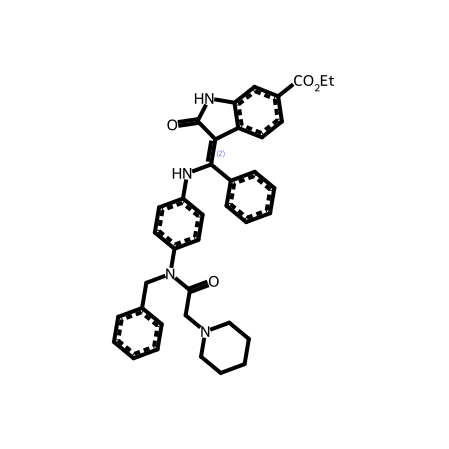 CCOC(=O)c1ccc2c(c1)NC(=O)/C2=C(\Nc1ccc(N(Cc2ccccc2)C(=O)CN2CCCCC2)cc1)c1ccccc1